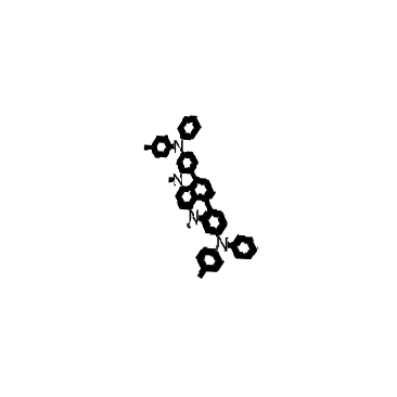 Cc1ccc(N(c2ccccc2)c2ccc3c(c2)N(C)c2ccc4c5c(ccc-3c25)-c2ccc(N(c3ccccc3)c3ccc(C)cc3)cc2N4C)cc1